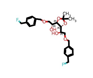 CC1(C)O[C@H]([C@H](O)COCc2ccc(CF)cc2)[C@@H]([C@H](O)COCc2ccc(CF)cc2)O1